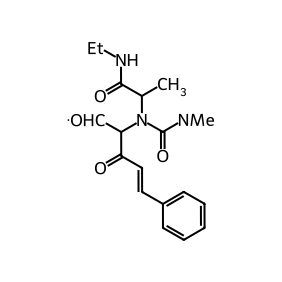 CCNC(=O)C(C)N(C(=O)NC)C([C]=O)C(=O)C=Cc1ccccc1